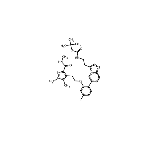 CNC(=O)c1nn(C)c(C)c1CCOc1cc(F)ccc1-c1ccc2ncc(CCNC(=O)OC(C)(C)C)n2c1